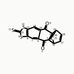 O=C1C2=C(C(=O)c3cc4sc(=S)sc4cc31)C1C=CC2CC1